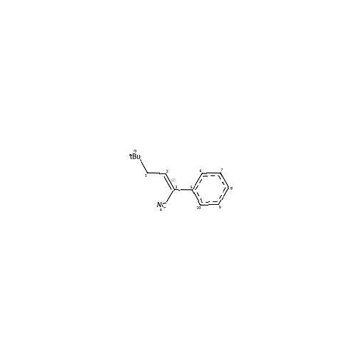 CC(C)(C)C/C=C(\C#N)c1ccccc1